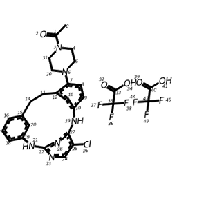 CC(=O)N1CCN(c2ccc3cc2CCc2cccc(c2)Nc2ncc(Cl)c(n2)N3)CC1.O=C(O)C(F)(F)F.O=C(O)C(F)(F)F